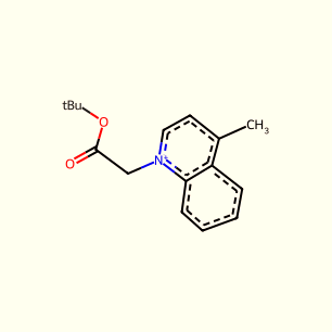 Cc1cc[n+](CC(=O)OC(C)(C)C)c2ccccc12